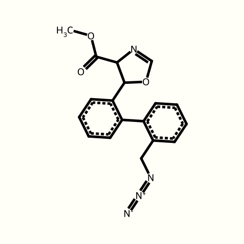 COC(=O)C1N=COC1c1ccccc1-c1ccccc1CN=[N+]=[N-]